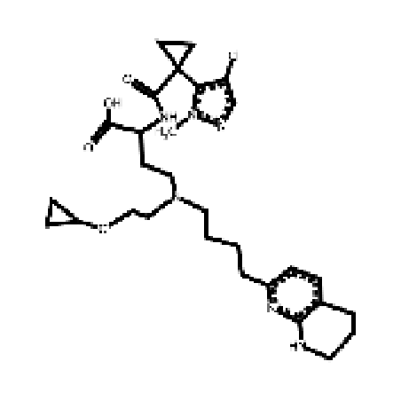 Cn1ncc(Cl)c1C1(C(=O)NC(CCN(CCCCc2ccc3c(n2)NCCC3)CCOC2CC2)C(=O)O)CC1